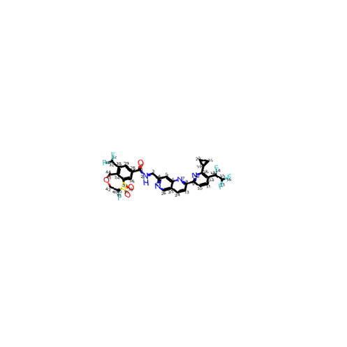 O=C(NCc1cc2nc(-c3ccc([C@@H](F)C(F)F)c(C4CC4)n3)ccc2cn1)c1cc(C(F)F)c2c(c1)S(=O)(=O)[C@@H](F)COC2